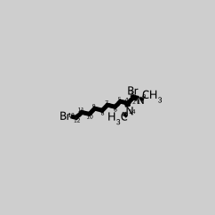 CN=C(Br)C(CCCCCCCCBr)=NC